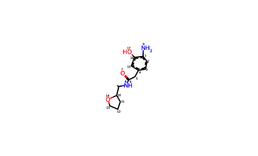 Nc1ccc(CC(=O)NCC2CCCO2)cc1O